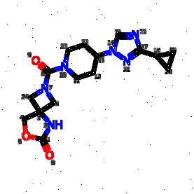 O=C1NC2(CO1)CN(C(=O)N1CCC(n3cnc(C4CC4)n3)CC1)C2